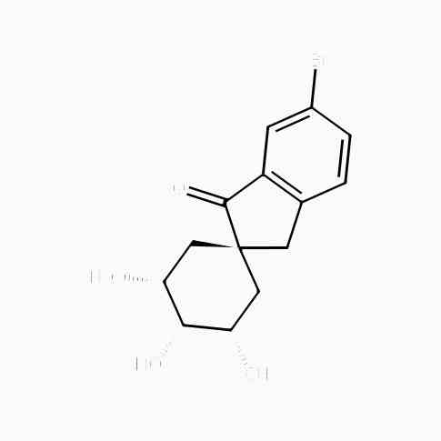 C[C@@H]1C[C@@]2(Cc3ccc(Br)cc3C2=O)C[C@H](C)[C@@H]1O